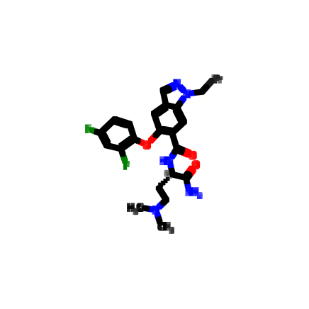 CC(C)Cn1ncc2cc(Oc3ccc(F)cc3F)c(C(=O)N[C@@H](CCN(C)C)C(N)=O)cc21